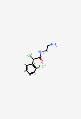 Cl.NCCNC(=O)C(Cl)c1ccccc1